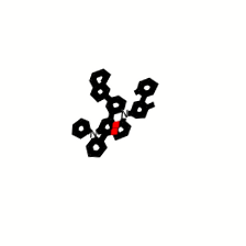 Cc1ccccc1-c1cc(N(c2ccccc2)c2ccc(-c3ccc4ccccc4c3)cc2-c2ccc3c4ccccc4n(-c4ccccc4)c3c2)ccc1C